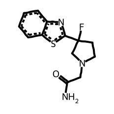 NC(=O)CN1CCC(F)(c2nc3ccccc3s2)C1